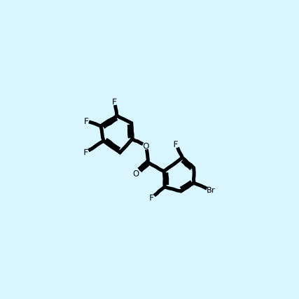 O=C(Oc1cc(F)c(F)c(F)c1)c1c(F)cc(Br)cc1F